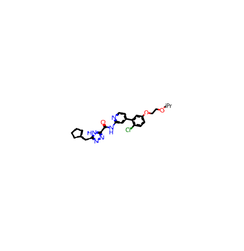 CC(C)OCCOc1ccc(Cl)c(-c2ccnc(NC(=O)c3nnc(CC4CCCC4)[nH]3)c2)c1